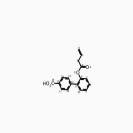 C=CCC(=O)Oc1ccccc1-c1ccc(C(=O)O)cc1